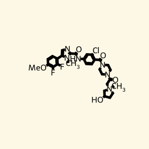 COc1ccc(-c2cnc(C(=O)Nc3ccc(C(=O)N4CCN(C(=O)C[N+]5(C)CCC(O)C5)CC4)c(Cl)c3)n2C)c(F)c1F